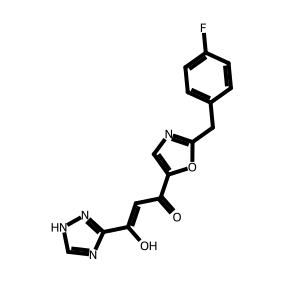 O=C(C=C(O)c1nc[nH]n1)c1cnc(Cc2ccc(F)cc2)o1